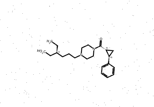 NC[C@@H](CCCN1CCN(C(=O)[C@@H]2C[C@H]2c2ccccc2)CC1)CC(=O)O